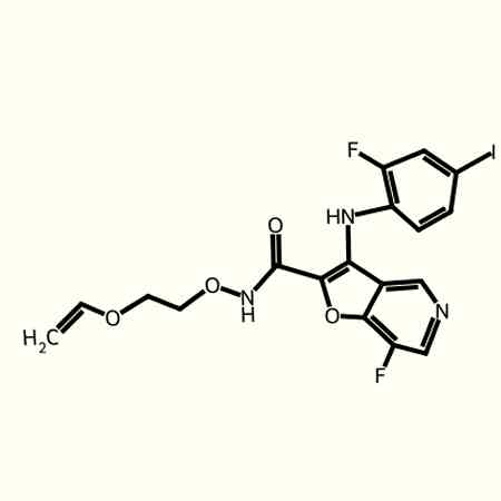 C=COCCONC(=O)c1oc2c(F)cncc2c1Nc1ccc(I)cc1F